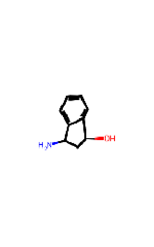 NC1C[C@H](O)c2ccccc21